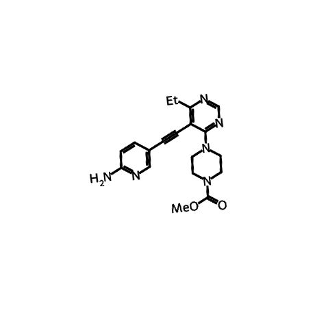 CCc1ncnc(N2CCN(C(=O)OC)CC2)c1C#Cc1ccc(N)nc1